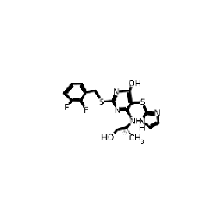 C[C@H](CO)Nc1nc(SCc2cccc(F)c2F)nc(O)c1Sc1ncc[nH]1